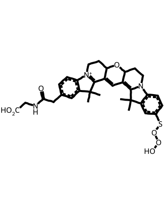 CC1(C)C2=C3C=C4C5=[N+](CCC4OC3CCN2c2ccc(SOOO)cc21)c1ccc(CC(=O)NCC(=O)O)cc1C5(C)C